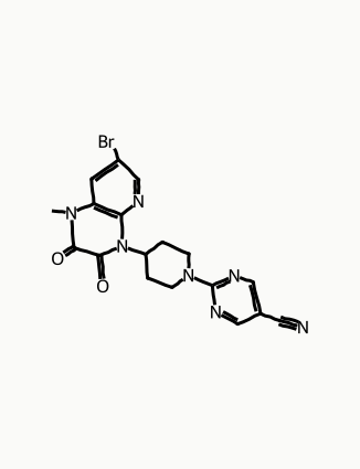 Cn1c(=O)c(=O)n(C2CCN(c3ncc(C#N)cn3)CC2)c2ncc(Br)cc21